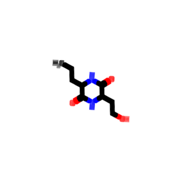 CCCC1NC(=O)C(CCO)NC1=O